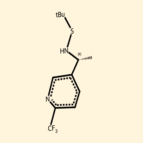 C[C@@H](NSC(C)(C)C)c1ccc(C(F)(F)F)nc1